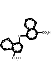 O=C(O)c1ccc(Oc2ccc(C(=O)O)c3ccccc23)c2ccccc12